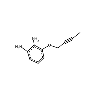 CC#CCOc1cccc(N)c1N